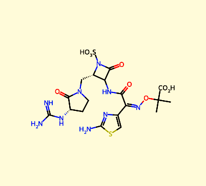 CC(C)(O/N=C(\C(=O)NC1C(=O)N(S(=O)(=O)O)[C@H]1CN1CC[C@H](NC(=N)N)C1=O)c1csc(N)n1)C(=O)O